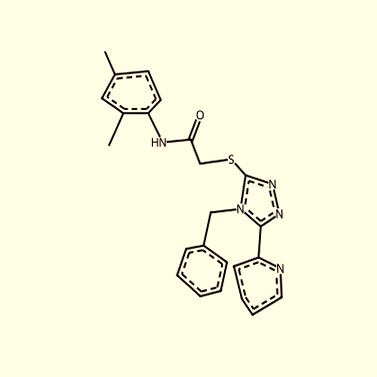 Cc1ccc(NC(=O)CSc2nnc(-c3ccccn3)n2Cc2ccccc2)c(C)c1